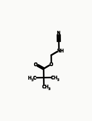 CC(C)(C)C(=O)OCNC#N